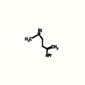 C=C(CCC)CCN(C)CC